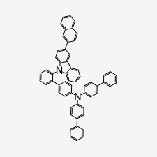 c1ccc(-c2ccc(N(c3ccc(-c4ccccc4)cc3)c3ccc(-c4ccccc4-n4c5ccccc5c5cc(-c6ccc7ccccc7c6)ccc54)cc3)cc2)cc1